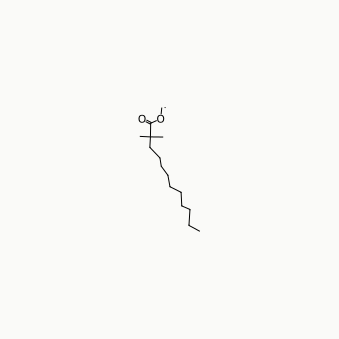 [CH2]OC(=O)C(C)(C)CCCCCCCCCC